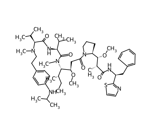 CC[C@H](C)[C@@H]([C@@H](CC(=O)N1CCC[C@H]1[C@H](OC)[C@@H](C)C(=O)N[C@@H](Cc1ccccc1)c1nccs1)OC)N(C)C(=O)[C@@H](NC(=O)[C@H](C(C)C)N(C)CCc1ccc(NC(C)C)cc1)C(C)C